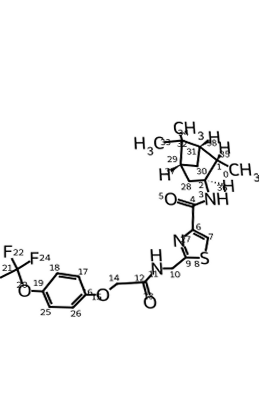 C[C@@H]1[C@@H](NC(=O)c2csc(CNC(=O)COc3ccc(OC(F)(F)F)cc3)n2)C[C@H]2C[C@@H]1C2(C)C